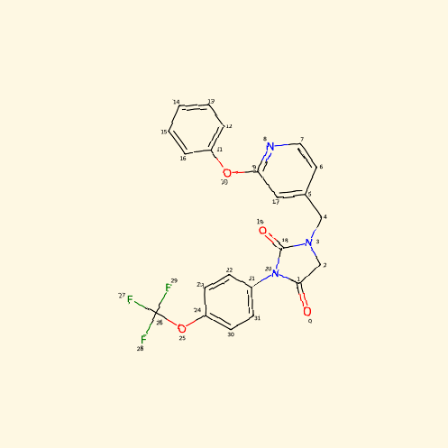 O=C1CN(Cc2ccnc(Oc3ccccc3)c2)C(=O)N1c1ccc(OC(F)(F)F)cc1